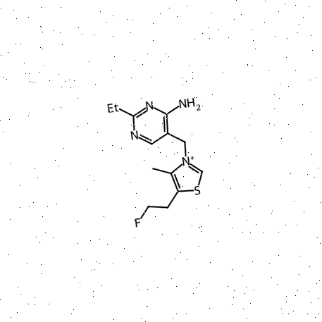 CCc1ncc(C[n+]2csc(CCF)c2C)c(N)n1